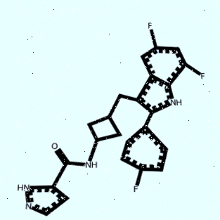 O=C(NC1CC(Cc2c(-c3ccc(F)cc3)[nH]c3c(F)cc(F)cc23)C1)c1ccn[nH]1